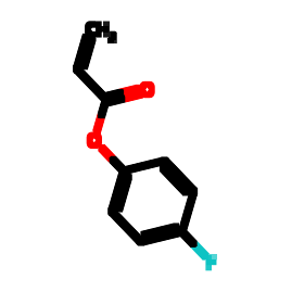 C=CC(=O)Oc1ccc(F)cc1